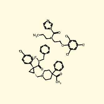 CC(=O)C1(c2ccccc2)CCN(C[C@@H]2C[C@@]2(C(=O)N(C)Cc2ccccc2)c2ccc(Cl)cc2)CC1.CCCN(CCOc1c(Cl)cc(Cl)cc1Cl)C(=O)n1ccnc1